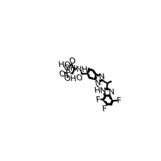 CC(c1nc2c(F)cc(F)c(F)c2[nH]1)c1nc2ccc(C(=O)NC(CP(=O)(O)O)C(=O)O)cc2n1C